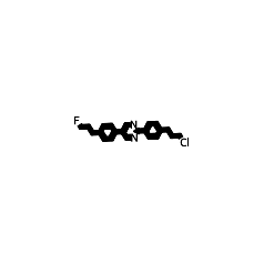 FCCCc1ccc(-c2cnc(-c3ccc(CCCCl)cc3)nc2)cc1